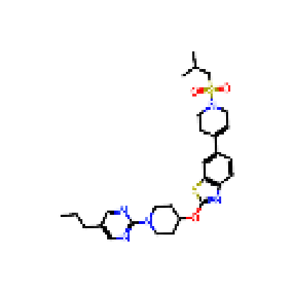 CCCc1cnc(N2CCC(Oc3nc4ccc(C5=CCN(S(=O)(=O)CC(C)C)CC5)cc4s3)CC2)nc1